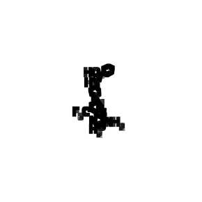 NC(=O)c1sc2nc(N3CCC(NC[C@@H](O)c4ccccc4)CC3)cc(C(F)(F)F)c2c1N